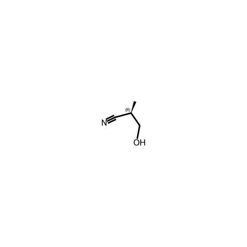 C[C@H](C#N)CO